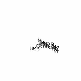 C#Cc1ccc(NC(=O)C2CN(C(=O)Nc3ccc4c(c3)c(=O)n(CC3CC3)c(=O)n4C(C)C)CCN2)cc1F